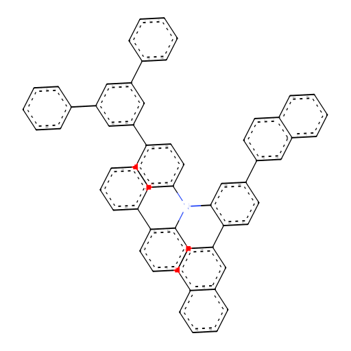 c1ccc(-c2cc(-c3ccccc3)cc(-c3ccc(N(c4ccccc4-c4ccccc4)c4cc(-c5ccc6ccccc6c5)ccc4-c4ccc5ccccc5c4)cc3)c2)cc1